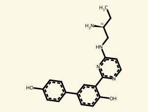 CC[C@H](N)CNc1ccnc(-c2cc(-c3ccc(O)cc3)ccc2O)n1